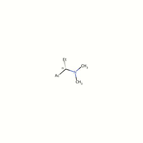 CC[C@@H](C(C)=O)N(C)C